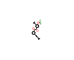 O=C(C(=O)c1ccc(OC(F)F)c(C2CC2)c1)c1cccc(C#CC2CC2)c1